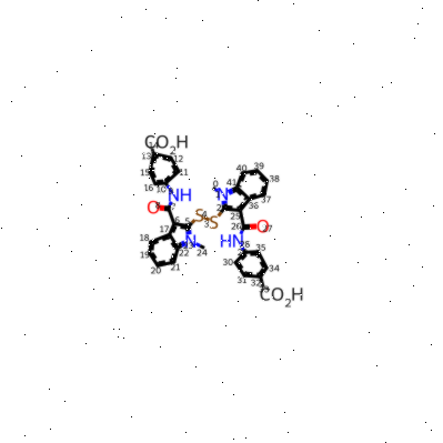 Cn1c(SSc2c(C(=O)Nc3ccc(C(=O)O)cc3)c3ccccc3n2C)c(C(=O)Nc2ccc(C(=O)O)cc2)c2ccccc21